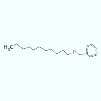 CCCCCCCCCCC[P]Cc1ccccc1